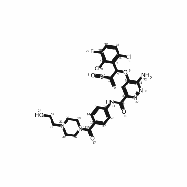 C=C(B=O)C(Oc1cc(C(=O)Nc2ccc(C(=O)N3CCN(CCO)CC3)cc2)nnc1N)c1c(Cl)ccc(F)c1Cl